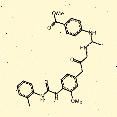 COC(=O)c1ccc(NC(C)NCC(=O)Cc2ccc(NC(=O)Nc3ccccc3C)c(OC)c2)cc1